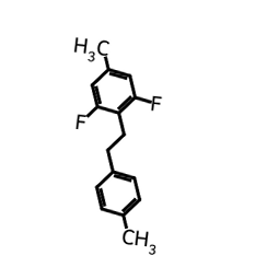 Cc1ccc(CCc2c(F)cc(C)cc2F)cc1